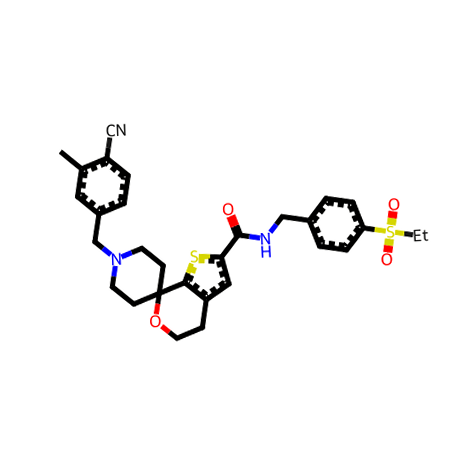 CCS(=O)(=O)c1ccc(CNC(=O)c2cc3c(s2)C2(CCN(Cc4ccc(C#N)c(C)c4)CC2)OCC3)cc1